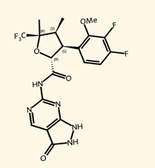 COc1c([C@H]2[C@H](C(=O)Nc3ncc4c(=O)[nH][nH]c4n3)O[C@@](C)(C(F)(F)F)[C@H]2C)ccc(F)c1F